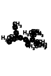 Cc1ccc(-c2ccc(N(c3ccc(-c4ccc5c(c4)c4ccccc4n5-c4cc(B5OC(C)(C)C(C)(C)O5)cc(B5OC(C)(C)C(C)(C)O5)c4)cc3)c3ccc4c(c3)C(C)(C)c3ccccc3-4)cc2)cc1